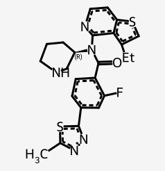 CCc1csc2ccnc(N(C(=O)c3ccc(-c4nnc(C)s4)cc3F)[C@@H]3CCCNC3)c12